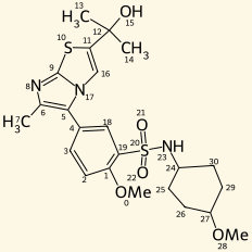 COc1ccc(-c2c(C)nc3sc(C(C)(C)O)cn23)cc1S(=O)(=O)NC1CCC(OC)CC1